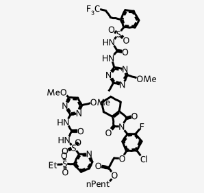 CCCCCOC(=O)COc1cc(N2C(=O)C3=C(CCCC3)C2=O)c(F)cc1Cl.CCS(=O)(=O)c1cccnc1S(=O)(=O)NC(=O)Nc1nc(OC)cc(OC)n1.COc1nc(C)nc(NC(=O)NS(=O)(=O)c2ccccc2CCC(F)(F)F)n1